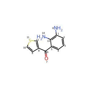 Nc1cccc(C(=O)c2ccsc2)c1N